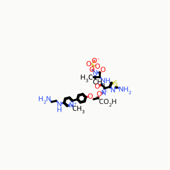 C[n+]1cc(NCCN)ccc1-c1ccc(OC[C@H](O/N=C(\C(=O)NC2C(=O)N(OS(=O)(=O)[O-])C2(C)C)c2csc(N)n2)C(=O)O)cc1